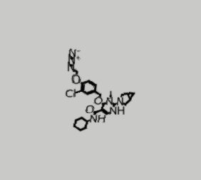 [N-]=[N+]=NCOc1ccc(COC2C(C(=O)NC3CCCCC3)=CNC(N3CC4CC4C3)N2I)cc1Cl